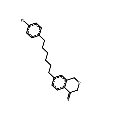 CCc1ccc(CCCCCCc2ccc3c(c2)COCC3=O)cc1